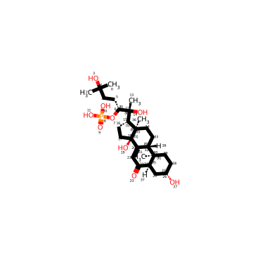 CC(C)(O)CC[C@@H](OP(=O)(O)O)[C@](C)(O)[C@H]1CC[C@@]2(O)C3=CC(=O)[C@@H]4C[C@@H](O)CC[C@]4(C)[C@H]3CC[C@]12C